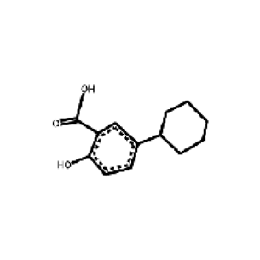 O=C(O)c1cc(C2CCCCC2)ccc1O